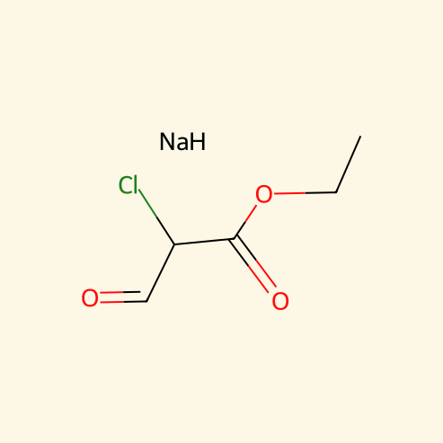 CCOC(=O)C(Cl)C=O.[NaH]